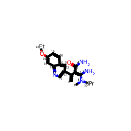 C=C(/C(C(N)=O)=C(/N)N(C)C(C)C)c1cnc2cc(OCC)ccc2c1